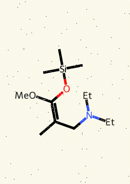 CCN(CC)CC(C)=C(OC)O[Si](C)(C)C